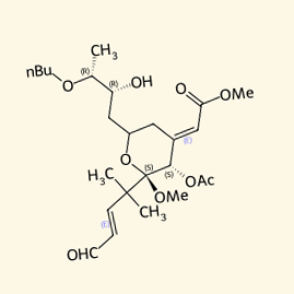 CCCCO[C@H](C)[C@H](O)CC1C/C(=C\C(=O)OC)[C@H](OC(C)=O)[C@](OC)(C(C)(C)/C=C/C=O)O1